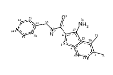 Cc1nnc2sc(C(=O)NCc3ccncc3)c(N)c2c1C